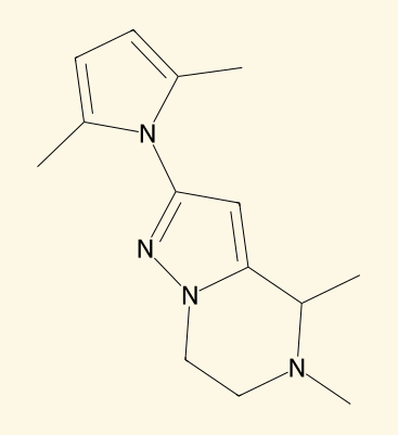 Cc1ccc(C)n1-c1cc2n(n1)CCN(C)C2C